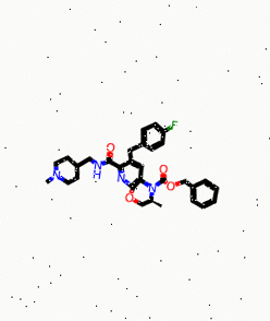 C[C@H]1COc2nc(C(=O)NCC3CCN(C)CC3)c(Cc3ccc(F)cc3)cc2N1C(=O)OCc1ccccc1